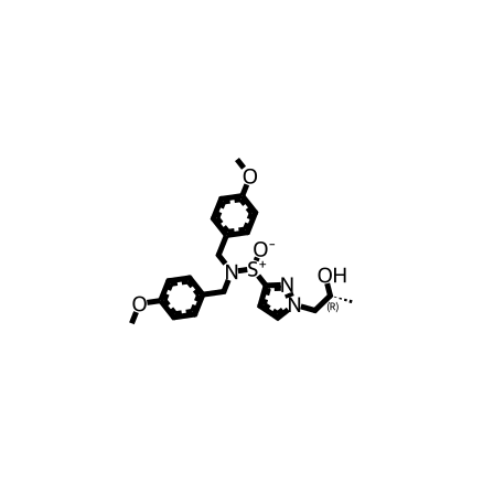 COc1ccc(CN(Cc2ccc(OC)cc2)[S+]([O-])c2ccn(C[C@@H](C)O)n2)cc1